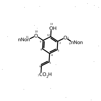 CCCCCCCCCOc1cc(/C=C/C(=O)O)cc(OCCCCCCCCC)c1O